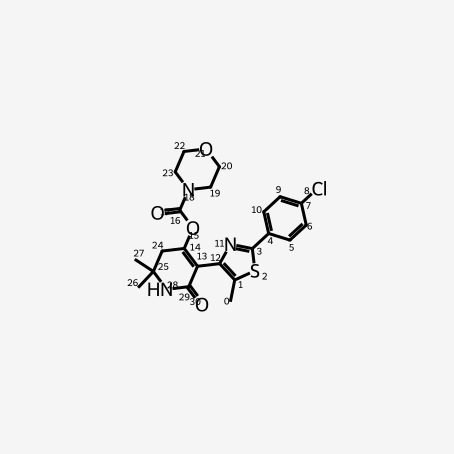 Cc1sc(-c2ccc(Cl)cc2)nc1C1=C(OC(=O)N2CCOCC2)CC(C)(C)NC1=O